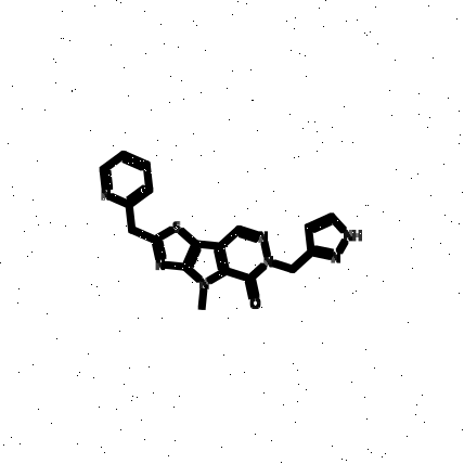 Cn1c2nc(Cc3ccccn3)sc2c2cnn(Cc3cc[nH]n3)c(=O)c21